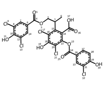 CC(COC(=O)c1cc(Cl)c(O)c(Cl)c1)c1c(Cl)c(O)c(Cl)c(OC(=O)c2ccc(O)c(Cl)c2)c1C(=O)O